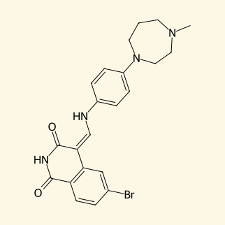 CN1CCCN(c2ccc(NC=C3C(=O)NC(=O)c4ccc(Br)cc43)cc2)CC1